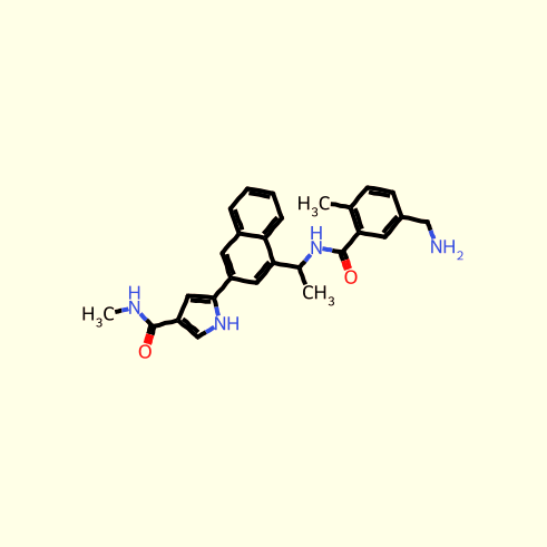 CNC(=O)c1c[nH]c(-c2cc(C(C)NC(=O)c3cc(CN)ccc3C)c3ccccc3c2)c1